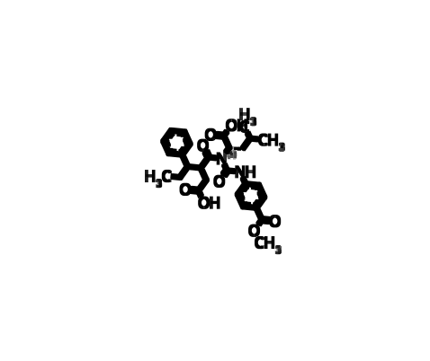 CCC(c1ccccc1)C(CC(=O)O)C(=O)N(C(=O)Nc1ccc(C(=O)OC)cc1)[C@@H](CC(C)C)C(=O)O